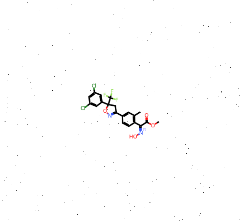 COC(=O)/C(=N/O)c1ccc(C2=NOC(c3cc(Cl)cc(Cl)c3)(C(F)(F)F)C2)cc1C